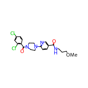 COCCCNC(=O)c1ccc(N2CCN(C(=O)c3ccc(Cl)cc3Cl)CC2)nc1